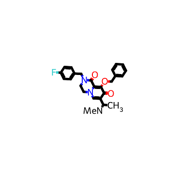 CNC(C)c1cn2c(c(OCc3ccccc3)c1=O)C(=O)N(Cc1ccc(F)cc1)CC2